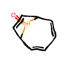 O=[PH]1C2C=CC=CC1C=C2